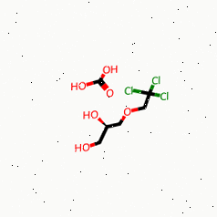 O=C(O)O.OC[C@@H](O)COCC(Cl)(Cl)Cl